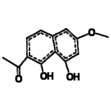 COc1cc(O)c2c(O)c(C(C)=O)ccc2c1